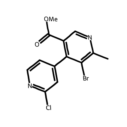 COC(=O)c1cnc(C)c(Br)c1-c1ccnc(Cl)c1